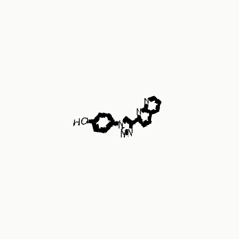 Oc1ccc(-n2cc(-c3ccc4cccnc4n3)nn2)cc1